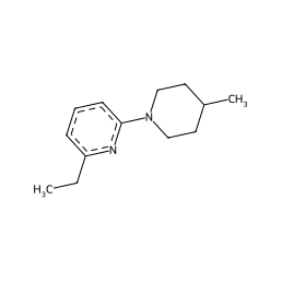 CCc1cccc(N2CCC(C)CC2)n1